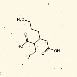 CCCCC(CC(=O)O)C(CC)C(=O)O